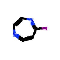 IC1=NC=CN=C=C1